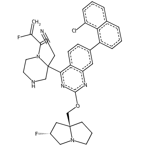 C=C(F)C(=O)N1CCNCC1(CC#N)c1nc(OC[C@@]23CCCN2C[C@H](F)C3)nc2cc(-c3cccc4cccc(Cl)c34)ccc12